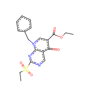 CCOC(=O)c1cn(Cc2ccccc2)c2nc(S(=O)(=O)CC)ncc2c1=O